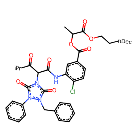 CCCCCCCCCCCCOC(=O)C(C)OC(=O)c1ccc(Cl)c(NC(=O)C(C(=O)C(C)C)n2c(=O)n(Cc3ccccc3)n(-c3ccccc3)c2=O)c1